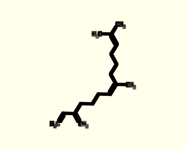 C=CC(=C)CCCC=C(C)CCCC=C(C)C